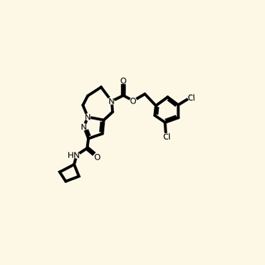 O=C(NC1CCC1)c1cc2n(n1)CCCN(C(=O)OCc1cc(Cl)cc(Cl)c1)C2